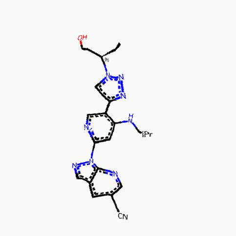 CC(C)Nc1cc(-n2ncc3cc(C#N)cnc32)ncc1-c1cn([C@H](C)CO)nn1